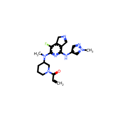 C=CC(=O)N1CCCC(N(C)c2nc(Nc3cnn(C)c3)c3c(c2F)CN=C3)C1